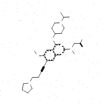 COc1cc2c(NC3CCN(C(C)C)CC3)nc(N(C)CC(=O)O)nc2cc1C#CCCN1CCCC1